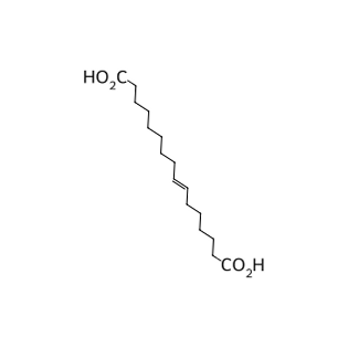 O=C(O)CCCCCC=CCCCCCCCC(=O)O